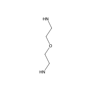 [NH]CCOCC[NH]